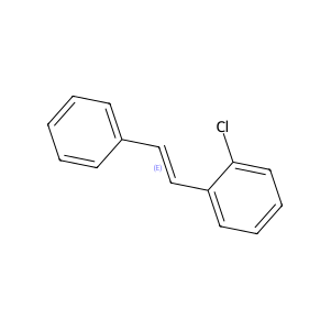 Clc1ccccc1/C=C/c1ccccc1